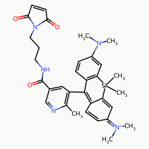 Cc1ncc(C(=O)NCCCN2C(=O)C=CC2=O)cc1C1=C2C=CC(=[N+](C)C)C=C2[Si](C)(C)c2cc(N(C)C)ccc21